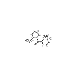 NC1(Cl)C=CC=C(C(=O)c2ccccc2C(=O)O)C1